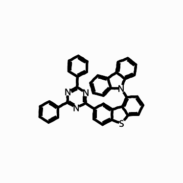 c1ccc(-c2nc(-c3ccccc3)nc(-c3ccc4sc5cccc(-n6c7ccccc7c7ccccc76)c5c4c3)n2)cc1